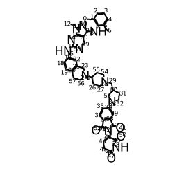 Cc1cccc(C)c1Nc1nn(C)c2nc(Nc3ccc4c(c3)CN(C3CCN(C[C@H]5CCN(c6ccc7c(c6)C(=O)N(C6CCC(=O)NC6=O)C7=O)C5)CC3)CC4)ncc12